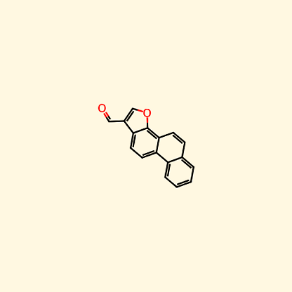 O=Cc1coc2c1ccc1c3ccccc3ccc12